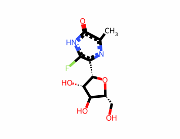 Cc1nc([C@@H]2O[C@H](CO)C(O)[C@@H]2O)c(F)[nH]c1=O